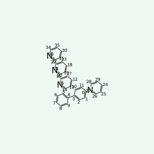 c1ccc(-c2ccccc2)cc1.c1ccncc1.c1ccncc1.c1ccncc1.c1ccncc1